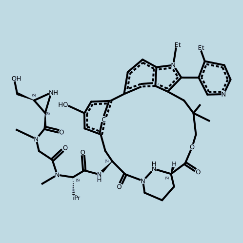 CCc1ccncc1-c1c2c3cc(ccc3n1CC)-c1cc(O)cc(c1)C[C@H](NC(=O)[C@H](C(C)C)N(C)C(=O)CN(C)C(=O)[C@@H]1N[C@@H]1CO)C(=O)N1CCC[C@H](N1)C(=O)OCC(C)(C)C2